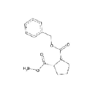 BOC(=O)[C@H]1CCCN1C(=O)OCc1ccccc1